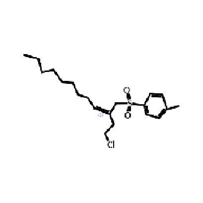 CCCCCCCC/C=C(/CCCl)CS(=O)(=O)c1ccc(C)cc1